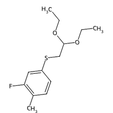 CCOC(CSc1ccc(C)c(F)c1)OCC